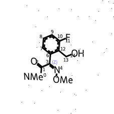 CNC(=O)/C(=N\OC)c1cccc(F)c1CO